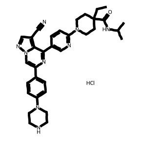 CCC1(C(=O)NC(C)C)CCN(c2ccc(-c3nc(-c4ccc(N5CCNCC5)cc4)cn4ncc(C#N)c34)cn2)CC1.Cl